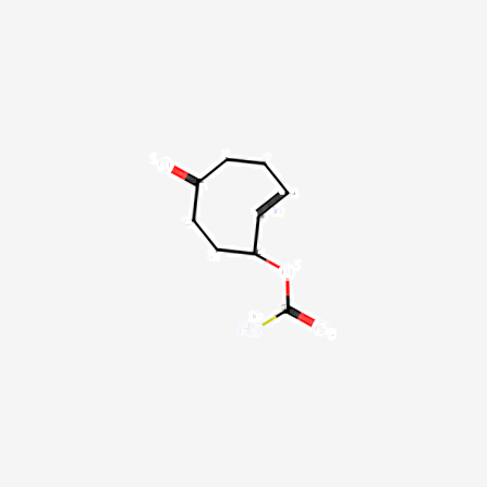 O=C1CC/C=C/C(OC(=O)S)CC1